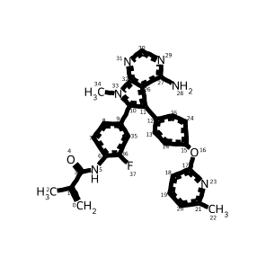 C=C(C)C(=O)Nc1ccc(-c2c(-c3ccc(Oc4cccc(C)n4)cc3)c3c(N)ncnc3n2C)cc1F